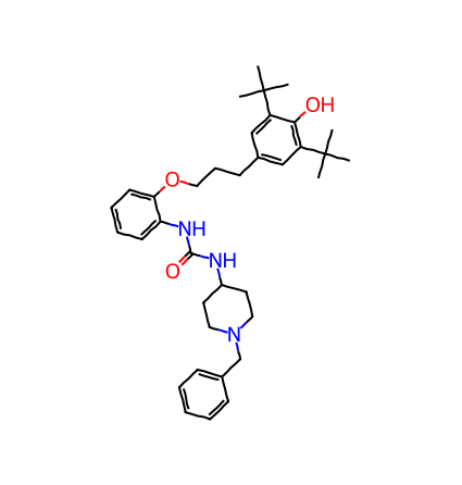 CC(C)(C)c1cc(CCCOc2ccccc2NC(=O)NC2CCN(Cc3ccccc3)CC2)cc(C(C)(C)C)c1O